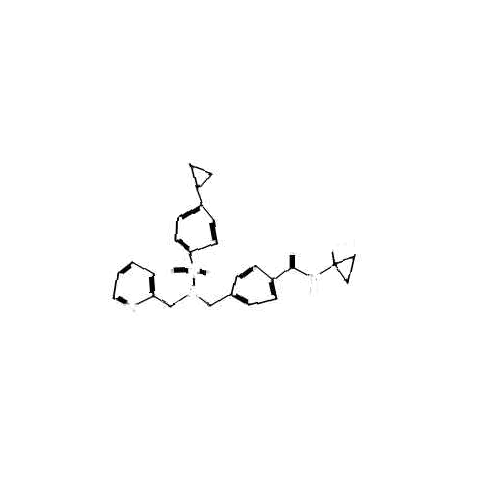 CCOC(=O)C1(NC(=O)c2ccc(CN(Cc3ccccn3)S(=O)(=O)c3ccc(C4CC4)cc3)cc2)CC1